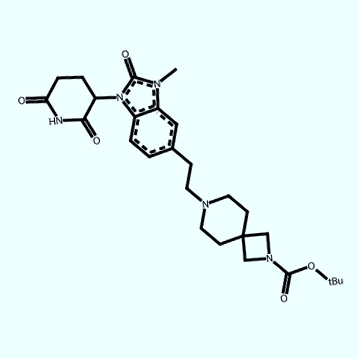 Cn1c(=O)n(C2CCC(=O)NC2=O)c2ccc(CCN3CCC4(CC3)CN(C(=O)OC(C)(C)C)C4)cc21